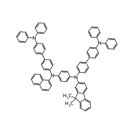 CC1(C)c2ccccc2-c2ccc(N(c3ccc(-c4ccc(N(c5ccccc5)c5ccccc5)cc4)cc3)c3ccc(N(c4ccc(-c5ccc(N(c6ccccc6)c6ccccc6)cc5)cc4)c4cccc5ccccc45)cc3)cc21